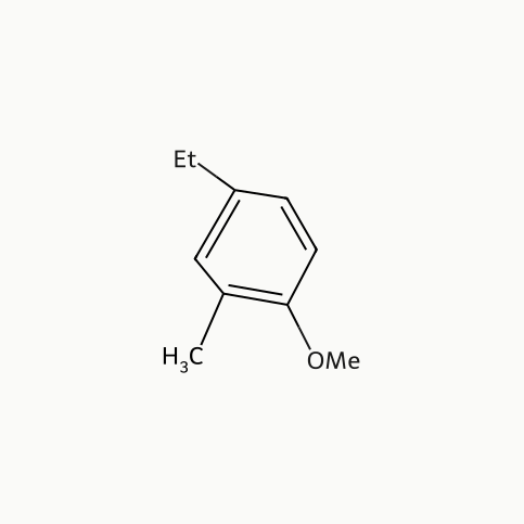 CCc1ccc(OC)c(C)c1